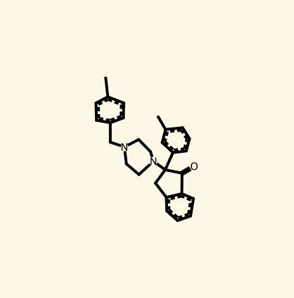 Cc1ccc(CN2CCN(C3(c4cccc(C)c4)Cc4ccccc4C3=O)CC2)cc1